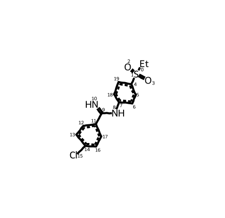 CCS(=O)(=O)c1ccc(NC(=N)c2ccc(Cl)cc2)cc1